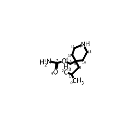 CC(C)CC1(COC(N)=O)CCNCC1